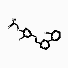 O=C(O)COc1ccc(N=Cc2cccc(-c3ccccc3Cl)c2)cc1F